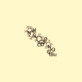 CC(C)(C)OC(=O)N1CCC(S(=O)(=O)c2ccc(N3CCN4CCC[C@H]4C3)cc2Cl)C1